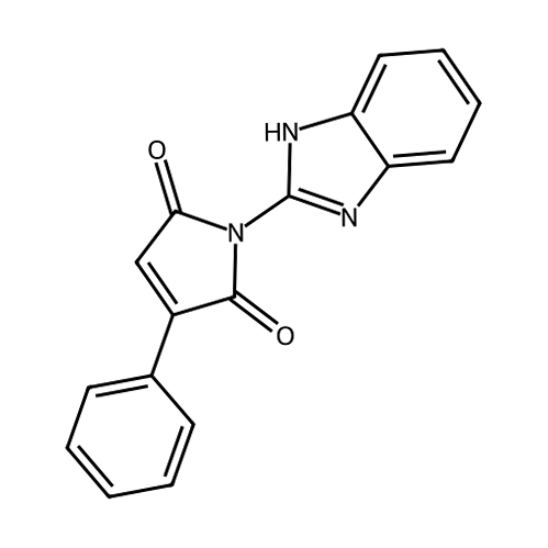 O=C1C=C(c2ccccc2)C(=O)N1c1nc2ccccc2[nH]1